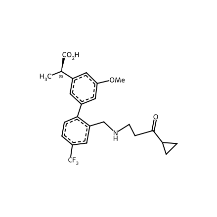 COc1cc(-c2ccc(C(F)(F)F)cc2CNCCC(=O)C2CC2)cc([C@@H](C)C(=O)O)c1